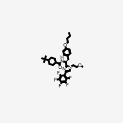 CCCCOc1ccc(C[C@H](NC(=O)C2CCC(C(C)(C)C)CC2)c2nc(-c3c(F)c(F)c(F)c(F)c3F)cn2CCOC)cc1